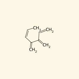 C=CC(=C)C(=C)/C=C\C